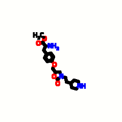 COC(=O)C(N)Cc1ccc(OCC2CN(CCC3CCNCC3)C(=O)O2)cc1